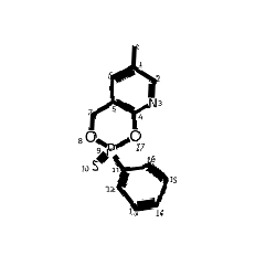 Cc1cnc2c(c1)COP(=S)(c1ccccc1)O2